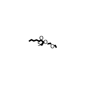 CCCCC1SC=C(OCCOCC)C1=O